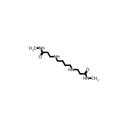 CNC(=O)CCNCCCCNCCC(=O)NC